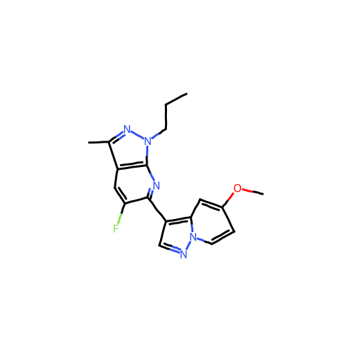 CCCn1nc(C)c2cc(F)c(-c3cnn4ccc(OC)cc34)nc21